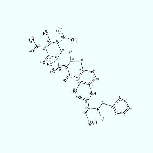 CCN(Cc1ccccc1)[C@@H](CC(=O)O)C(=O)Nc1ccc2c(c1O)C(=O)C1=C(O)C3(O)C(=O)C(C(N)=O)=C(O)C(N(C)C)C3CC1C2